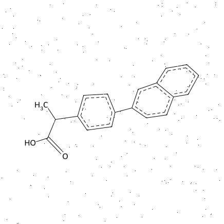 CC(C(=O)O)c1ccc(-c2ccc3ccccc3c2)cc1